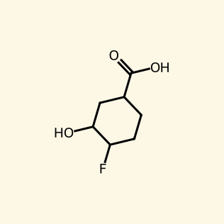 O=C(O)C1CCC(F)C(O)C1